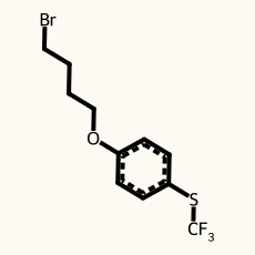 FC(F)(F)Sc1ccc(OCCCCBr)cc1